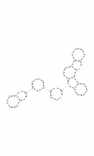 c1cc(-c2ccnc(-n3c4ccccc4c4c5oc6ccccc6c5ccc43)n2)cc(-c2nc3ccccc3s2)c1